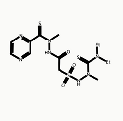 CCN(CC)C(=S)N(C)NS(=O)(=O)CC(=O)NN(C)C(=S)c1cnccn1